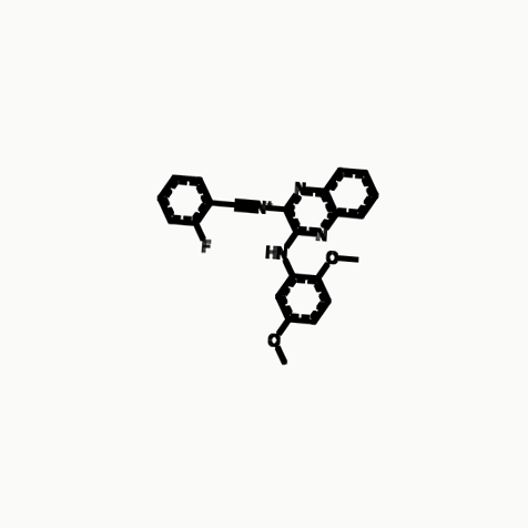 COc1ccc(OC)c(Nc2nc3ccccc3nc2[N+]#Cc2ccccc2F)c1